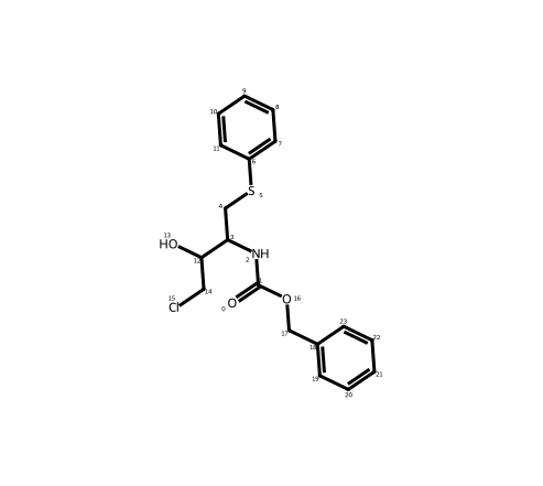 O=C(NC(CSc1ccccc1)C(O)CCl)OCc1ccccc1